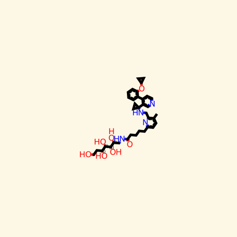 Cc1ccc(CCCCC(=O)NC[C@H](O)[C@@H](O)[C@H](O)[C@H](O)CCO)nc1CNC1(c2cnccc2-c2ccccc2OC2CC2)CC1